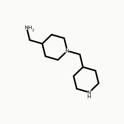 NCC1CCN(CC2CCNCC2)CC1